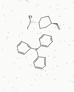 C=C[C@H]1CC[C@H](C(I)CC)CC1.c1ccc(P(c2ccccc2)c2ccccc2)cc1